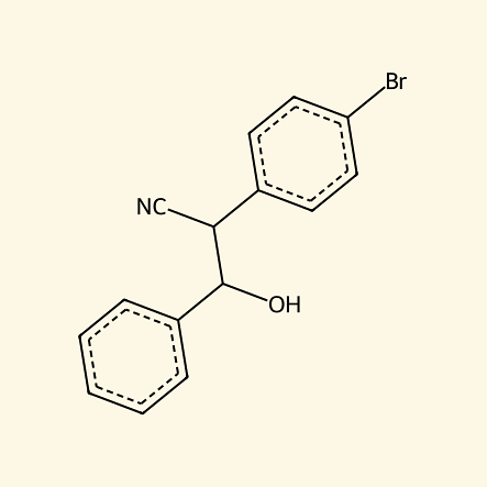 N#CC(c1ccc(Br)cc1)C(O)c1ccccc1